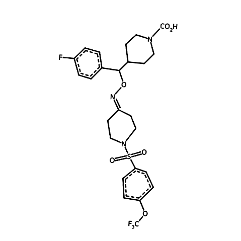 O=C(O)N1CCC(C(ON=C2CCN(S(=O)(=O)c3ccc(OC(F)(F)F)cc3)CC2)c2ccc(F)cc2)CC1